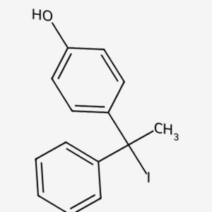 CC(I)(c1ccccc1)c1ccc(O)cc1